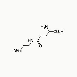 CSCCNC(=O)CCC(N)C(=O)O